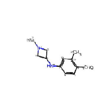 CCCCN1CC(Nc2ccc(C=O)c(C)c2)C1